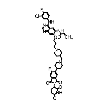 C=CC(=O)Nc1cc2c(Nc3ccc(F)c(Cl)c3)ncnc2cc1OCCCN1CCC(CN2CCC(c3cc4c(cc3F)C(=O)N(C3CCC(=O)NC3=O)C4=O)CC2)CC1